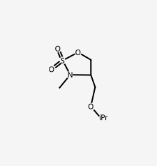 CC(C)OCC1COS(=O)(=O)N1C